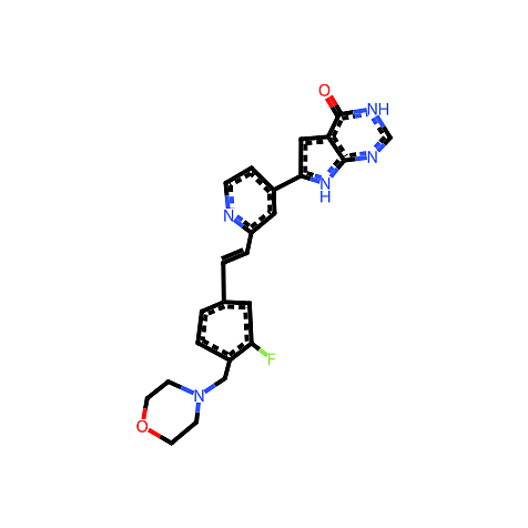 O=c1[nH]cnc2[nH]c(-c3ccnc(C=Cc4ccc(CN5CCOCC5)c(F)c4)c3)cc12